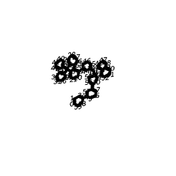 c1ccc(-c2cccc(-c3ccc(N(c4cccc(-c5cccc6c5-c5ccccc5C6(c5ccccc5)c5ccccc5)c4)c4cccc5ccccc45)cc3)c2)cc1